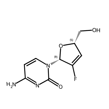 Nc1ccn([C@@H]2O[C@H](CO)C=C2F)c(=O)n1